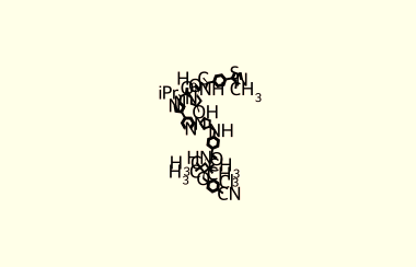 Cc1ncsc1-c1ccc([C@H](C)NC(=O)[C@@H]2C[C@@H](O)CN2C(=O)[C@H](C(C)C)n2cc(-c3ccnc(N4CCC(Nc5ccc(C(=O)N[C@H]6C(C)(C)[C@H](Oc7ccc(C#N)c(Cl)c7)C6(C)C)cc5)C4)c3)cn2)cc1